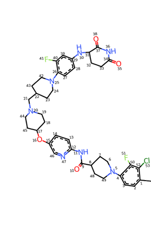 N#Cc1ccc(N2CCC(C(=O)Nc3ccc(OC4CCN(CC5CCN(c6ccc(NC7CCC(=O)NC7=O)cc6F)CC5)CC4)cn3)CC2)c(F)c1Cl